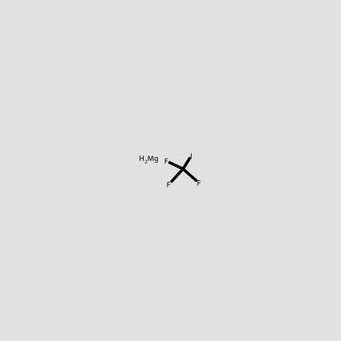 FC(F)(F)I.[MgH2]